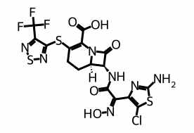 Nc1nc(/C(=N/O)C(=O)N[C@@H]2C(=O)N3C(C(=O)O)=C(Sc4nsnc4C(F)(F)F)CC[C@H]23)c(Cl)s1